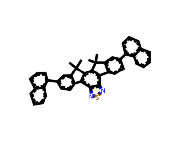 CC1(C)c2cc(-c3cccc4ccccc34)ccc2-c2c1c1c(c3nsnc23)-c2ccc(-c3cccc4ccccc34)cc2C1(C)C